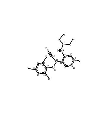 CCC(CC)Nc1cc(C)ncc1C(C#N)Oc1c(C)cc(C)cc1C